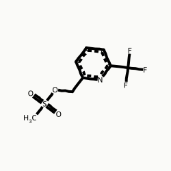 CS(=O)(=O)OCc1cccc(C(F)(F)F)n1